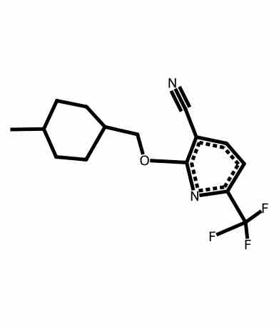 CC1CCC(COc2nc(C(F)(F)F)ccc2C#N)CC1